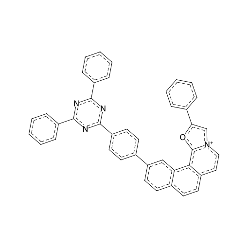 c1ccc(-c2nc(-c3ccccc3)nc(-c3ccc(-c4ccc5ccc6cc[n+]7cc(-c8ccccc8)oc7c6c5c4)cc3)n2)cc1